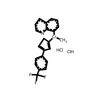 Cl.Cl.[CH3][Cr]([C]1=CC(c2ccc(C(F)(F)F)cc2)=CC1)[c]1cccc2cccnc12